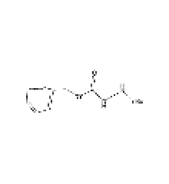 CCCCNNC(=O)OCc1ccccc1